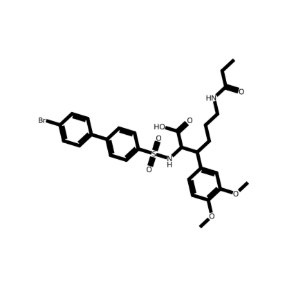 CCC(=O)NCCCC(c1ccc(OC)c(OC)c1)C(NS(=O)(=O)c1ccc(-c2ccc(Br)cc2)cc1)C(=O)O